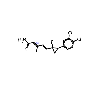 C/C(C=CC1(F)CC1c1ccc(Cl)c(Cl)c1)=C\C(N)=O